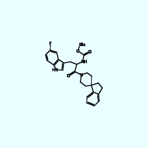 CC(C)(C)OC(=O)NC(Cc1c[nH]c2ccc(F)cc12)C(=O)N1CCC2(CCc3ccccc32)CC1